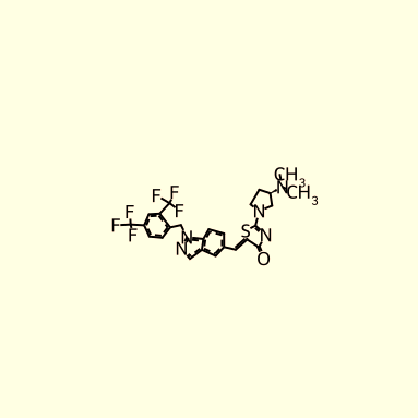 CN(C)[C@@H]1CCN(C2=NC(=O)/C(=C/c3ccc4c(cnn4Cc4ccc(C(F)(F)F)cc4C(F)(F)F)c3)S2)C1